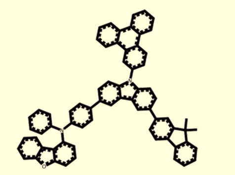 CC1(C)c2ccccc2-c2ccc(-c3ccc4c(c3)c3cc(-c5ccc(N(c6ccccc6)c6cccc7oc8ccccc8c67)cc5)ccc3n4-c3ccc4c5ccccc5c5ccccc5c4c3)cc21